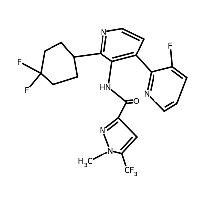 Cn1nc(C(=O)Nc2c(-c3ncccc3F)ccnc2C2CCC(F)(F)CC2)cc1C(F)(F)F